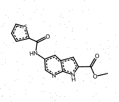 COC(=O)c1cc2cc(NC(=O)c3cccs3)cnc2[nH]1